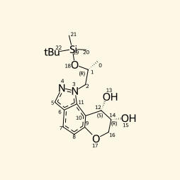 C[C@H](Cn1ncc2ccc3c(c21)[C@H](O)[C@H](O)CO3)O[Si](C)(C)C(C)(C)C